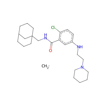 O=C(NCC12CCCC(CCC1)C2)c1cc(NCCN2CCCCC2)ccc1Cl.[CH2]